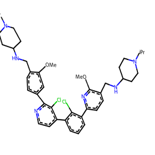 COc1cc(-c2nccc(-c3cccc(-c4ccc(CNC5CCN(C(C)C)CC5)c(OC)n4)c3Cl)c2Cl)ccc1CNC1CCN(C(C)C)CC1